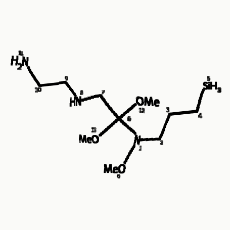 CON(CCC[SiH3])C(CNCCN)(OC)OC